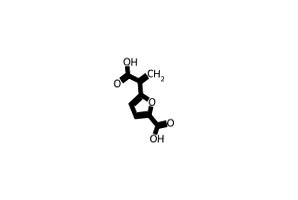 C=C(C(=O)O)c1ccc(C(=O)O)o1